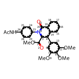 COC(=O)c1c(-c2cc(OC)c(OC)c(OC)c2)c2ccccc2c(=O)n1-c1ccc(NC(C)=O)cc1